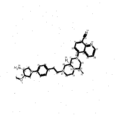 CO[C@@H]1CN(c2ccc(CCN3CCN4[C@@H](C3)CN(c3ccc(C#N)c5ncccc35)C[C@H]4C)cc2)C[C@H]1N